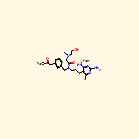 CCCCCNc1nc(N)nc(C)c1CCCN(Cc1cccc(CC(=O)OC)c1)C(=O)CN(C)CCO